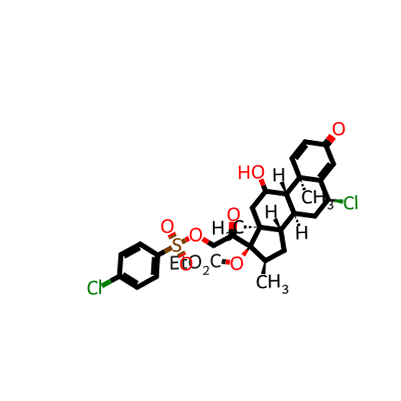 CCOC(=O)O[C@]1(C(=O)COS(=O)(=O)c2ccc(Cl)cc2)[C@H](C)C[C@H]2[C@@H]3C[C@H](Cl)C4=CC(=O)C=C[C@]4(C)[C@H]3C(O)C[C@@]21C